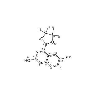 CC1(C)OB(c2cc(O)cc3ccc(F)cc23)OC1(C)C